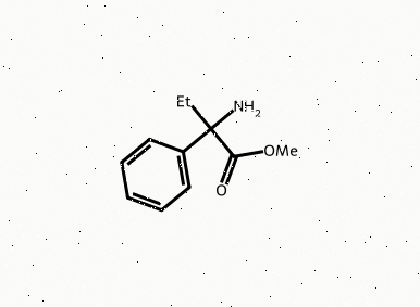 CCC(N)(C(=O)OC)c1ccccc1